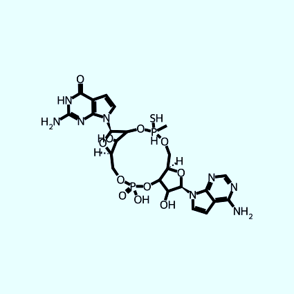 C[PH]1(S)OC[C@H]2O[C@@H](n3ccc4c(N)ncnc43)C(O)C2OP(=O)(O)OC[C@H]2O[C@@H](n3ccc4c(=O)[nH]c(N)nc43)C(O1)C2O